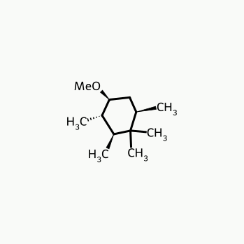 CO[C@H]1C[C@@H](C)C(C)(C)[C@@H](C)[C@@H]1C